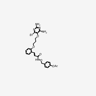 CCc1nc(N)nc(N)c1OCCCOc1ccccc1C=CC(=O)NOCc1ccc(OC(C)=O)cc1